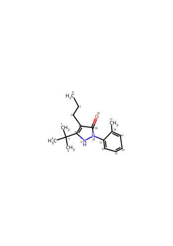 CCCc1c(C(C)(C)C)[nH]n(-c2ccccc2C)c1=O